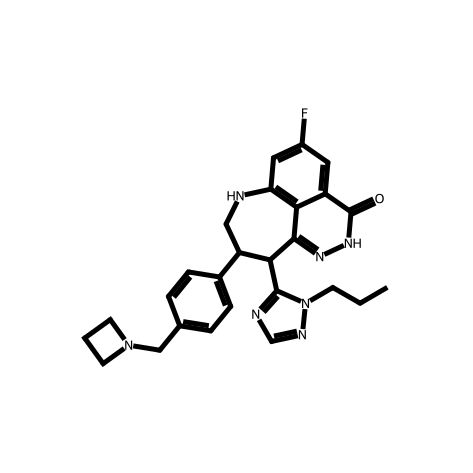 CCCn1ncnc1C1c2n[nH]c(=O)c3cc(F)cc(c23)NCC1c1ccc(CN2CCC2)cc1